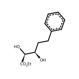 CCOC(=O)[C@@H](O)[C@H](O)CCc1ccccc1